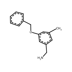 Cc1cc(CN)cc(OCc2ccccc2)c1